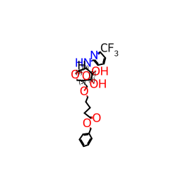 O=C(CCCCOC[C@@]12CO[C@@H](O1)[C@H](Nc1cccc(C(F)(F)F)n1)[C@@H](O)[C@H]2O)OCc1ccccc1